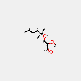 CCCC[Si](C)(C)OCC(C=O)OC